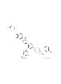 CCN1CCN(C2CC3(CCN(c4ccc(C(=O)NS(=O)(=O)c5cnc(NCC6CCC(C)(C)CC6)c([N+](=O)[O-])c5)c(Oc5cnc6[nH]ccc6c5)c4)CC3)C2)[C@@H](c2ccccc2C(C)C)C1